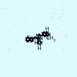 Cc1n[nH]c2ccc(-c3cnc(NCc4ccc5c(c4)=CCCC=5)c(N4CCNCC4)n3)cc12